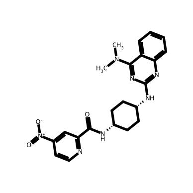 CN(C)c1nc(N[C@H]2CC[C@@H](NC(=O)c3cc([N+](=O)[O-])ccn3)CC2)nc2ccccc12